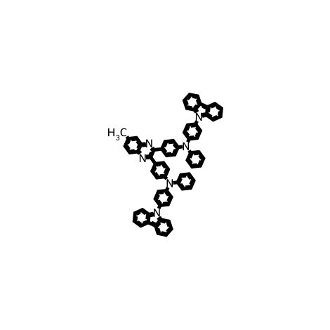 Cc1ccc2nc(-c3ccc(N(c4ccccc4)c4ccc(-n5c6ccccc6c6ccccc65)cc4)cc3)c(-c3ccc(N(c4ccccc4)c4ccc(-n5c6ccccc6c6ccccc65)cc4)cc3)nc2c1